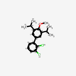 COc1c(C(C)C)cc(-c2cccc(Cl)c2Cl)cc1C(C)C